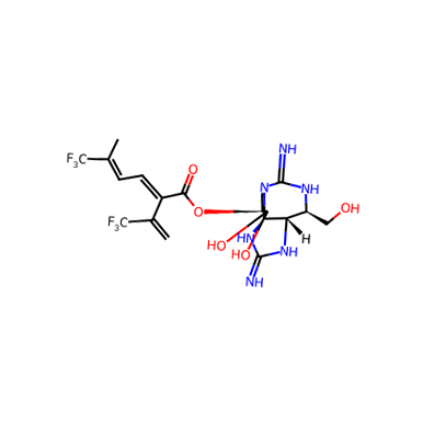 C=C(/C(=C\C=C(/C)C(F)(F)F)C(=O)O[C@H]1CN2C(=N)N[C@@H](CO)[C@@H]3NC(=N)N[C@@]32C1(O)O)C(F)(F)F